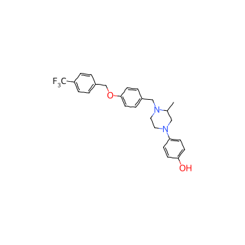 CC1CN(c2ccc(O)cc2)CCN1Cc1ccc(OCc2ccc(C(F)(F)F)cc2)cc1